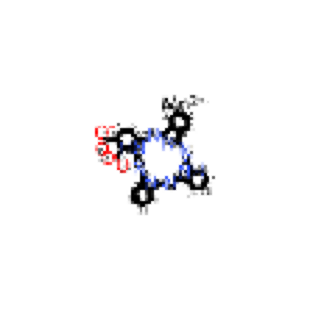 O=C([O-])c1ccc2c3nc4nc(nc5[nH]c(nc6nc(nc([nH]3)c2c1C(=O)[O-])-c1ccccc1-6)c1ccccc51)-c1ccccc1-4.[Mn+2]